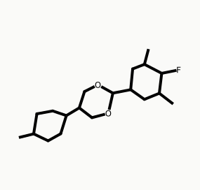 CC1CCC(C2COC(C3CC(C)C(F)C(C)C3)OC2)CC1